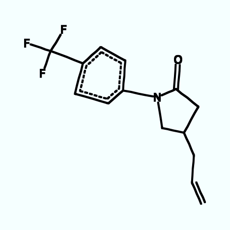 C=CCC1CC(=O)N(c2ccc(C(F)(F)F)cc2)C1